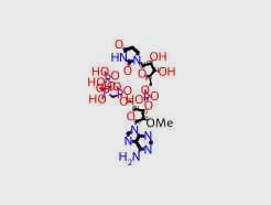 CO[C@@H]1[C@H](OP(=O)(O)OC[C@H]2O[C@@H](n3ccc(=O)[nH]c3=O)[C@H](O)[C@@H]2O)[C@@H](COP(=O)(O)CP(=O)(O)OP(=O)(O)O)O[C@H]1n1cnc2c(N)ncnc21